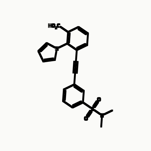 CN(C)S(=O)(=O)c1cccc(C#Cc2cccc(C(=O)O)c2-n2cccc2)c1